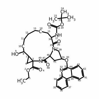 CCOC(=O)C12CC1C(O)CCCCCCC(NC(=O)OC(C)(C)C)C(=O)N1CC(Oc3nc4ccccc4c4ccccc34)CC1C(=O)N2